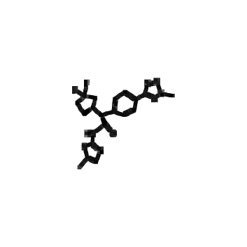 Cc1cnc(NC(=O)[C@H](c2ccc(-c3nnn(C)n3)cc2)[C@H]2CCC(F)(F)C2)s1